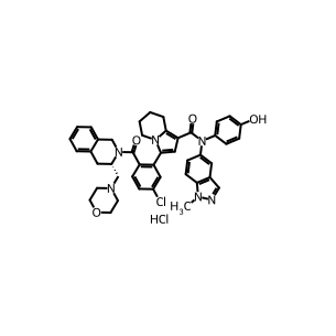 Cl.Cn1ncc2cc(N(C(=O)c3cc(-c4cc(Cl)ccc4C(=O)N4Cc5ccccc5C[C@H]4CN4CCOCC4)n4c3CCCC4)c3ccc(O)cc3)ccc21